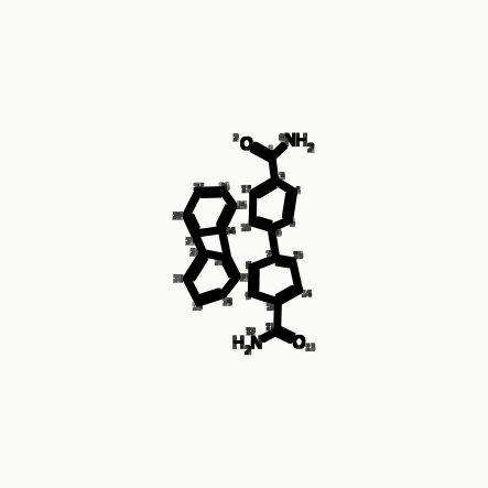 NC(=O)c1ccc(-c2ccc(C(N)=O)cc2)cc1.c1ccc2c(c1)-c1ccccc1-2